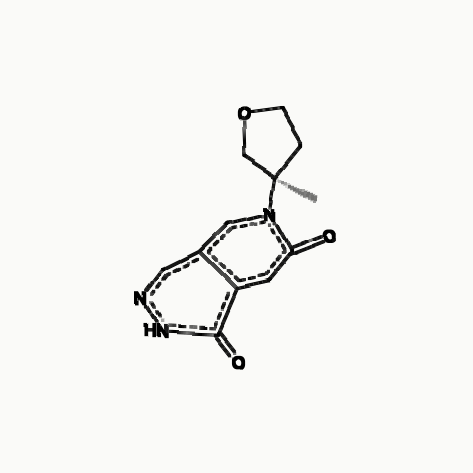 C[C@@]1(n2cc3cn[nH]c(=O)c3cc2=O)CCOC1